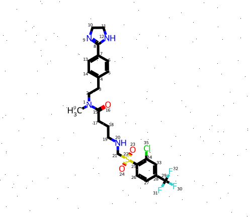 CN(CCc1ccc(C2=NCCN2)cc1)C(=O)CCCNCS(=O)(=O)c1ccc(C(F)(F)F)cc1Cl